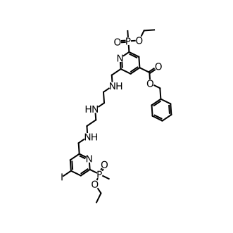 CCOP(C)(=O)c1cc(I)cc(CNCCNCCNCc2cc(C(=O)OCc3ccccc3)cc(P(C)(=O)OCC)n2)n1